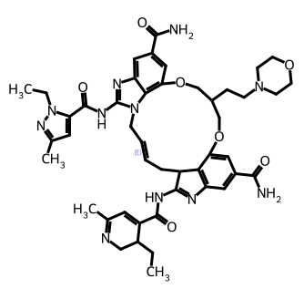 CCC1CN=C(C)C=C1C(=O)NC1=Nc2cc(C(N)=O)cc3c2C1C/C=C/Cn1c(NC(=O)c2cc(C)nn2CC)nc2cc(C(N)=O)cc(c21)OCC(CCN1CCOCC1)CO3